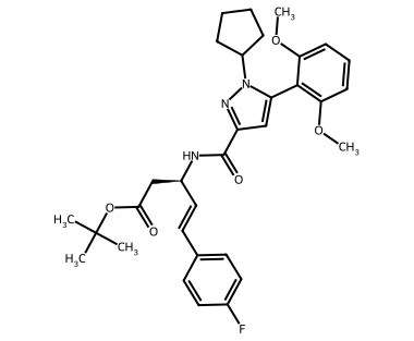 COc1cccc(OC)c1-c1cc(C(=O)N[C@@H](C=Cc2ccc(F)cc2)CC(=O)OC(C)(C)C)nn1C1CCCC1